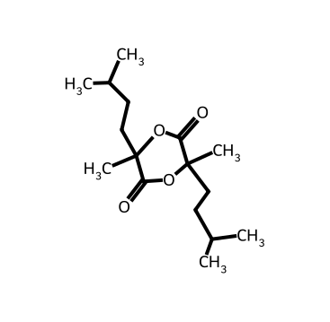 CC(C)CCC1(C)OC(=O)C(C)(CCC(C)C)OC1=O